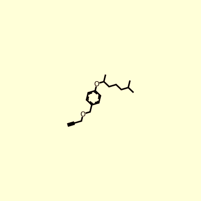 C#CCOCc1ccc(OC(C)CCCC(C)C)cc1